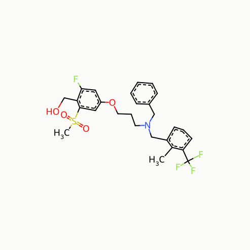 Cc1c(CN(CCCOc2cc(F)c(CO)c(S(C)(=O)=O)c2)Cc2ccccc2)cccc1C(F)(F)F